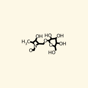 CC1C(O)C(COC2OC(CO)C(O)C(O)C2O)N1C=O